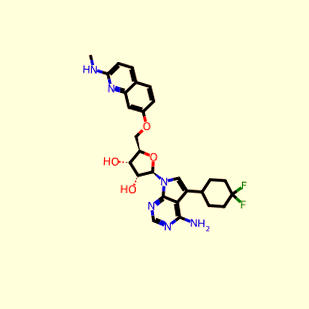 CNc1ccc2ccc(OC[C@H]3O[C@@H](n4cc(C5CCC(F)(F)CC5)c5c(N)ncnc54)[C@H](O)[C@@H]3O)cc2n1